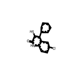 O=c1[nH]c2ccc(Cl)cc2c(-c2ccccc2)c1S